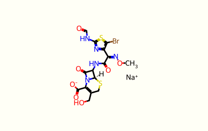 CO/N=C(\C(=O)NC1C(=O)N2C(C(=O)[O-])=C(CO)CS[C@H]12)c1nc(NC=O)sc1Br.[Na+]